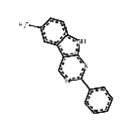 Cc1ccc2[nH]c3nc(-c4ccccc4)ncc3c2c1